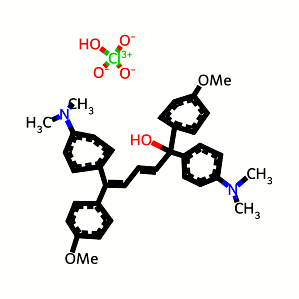 COc1ccc(C(=CC=CC(O)(c2ccc(OC)cc2)c2ccc(N(C)C)cc2)c2ccc(N(C)C)cc2)cc1.[O-][Cl+3]([O-])([O-])O